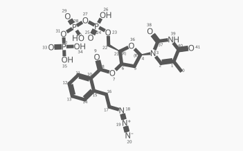 Cc1cn([C@H]2CC(OC(=O)c3ccccc3CCN=[N+]=[N-])[C@@H](COP(=O)(O)OP(=O)(O)OP(=O)(O)O)O2)c(=O)[nH]c1=O